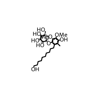 COc1c(O)c(C)c(CCCCCCCCCCO)c(O[C@@H]2O[C@H](CO)[C@@H](O)[C@H](O)[C@H]2O)c1OC